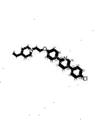 CCC1CCN(CCOc2ccc(-c3ccc(-c4ccc(Cl)cc4)cn3)cc2)CC1